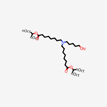 CCCCCCCCC(CCCCCCCC)OC(=O)CCCCCCCN(CCCCCO)CCCCCCCC(=O)OC(CCCCCCCC)CCCCCCCC